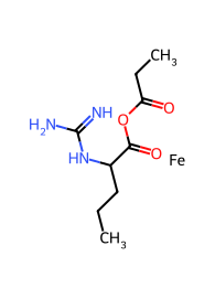 CCCC(NC(=N)N)C(=O)OC(=O)CC.[Fe]